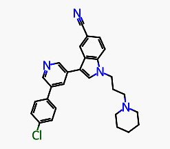 N#Cc1ccc2c(c1)c(-c1cncc(-c3ccc(Cl)cc3)c1)cn2CCCN1CCCCC1